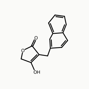 O=C1OCC(O)=C1Cc1ccc2ccccc2c1